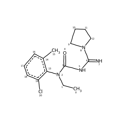 CCN(C(=O)NC(=N)N1CCCC1)c1c(C)cccc1Cl